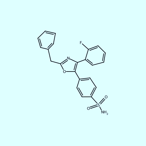 NS(=O)(=O)c1ccc(-c2oc(Cc3ccccc3)nc2-c2ccccc2F)cc1